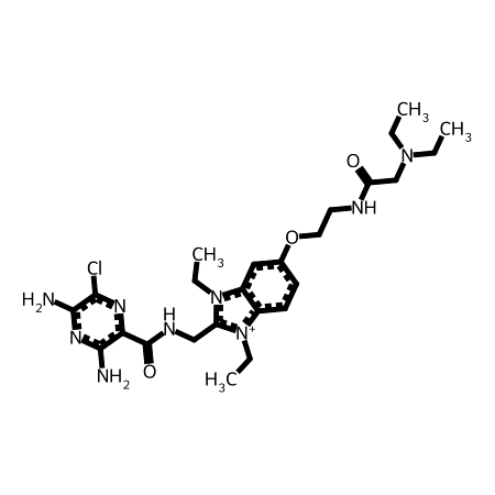 CCN(CC)CC(=O)NCCOc1ccc2c(c1)n(CC)c(CNC(=O)c1nc(Cl)c(N)nc1N)[n+]2CC